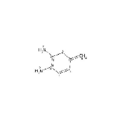 C=C1C=CC(N)=C(N)C1